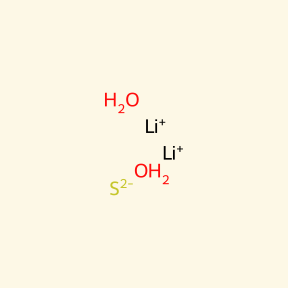 O.O.[Li+].[Li+].[S-2]